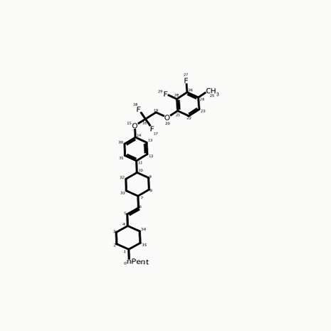 CCCCCC1CCC(/C=C/C2CCC(c3ccc(OC(F)(F)COc4ccc(C)c(F)c4F)cc3)CC2)CC1